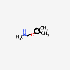 CNCCOc1ccc(C)c(C)c1